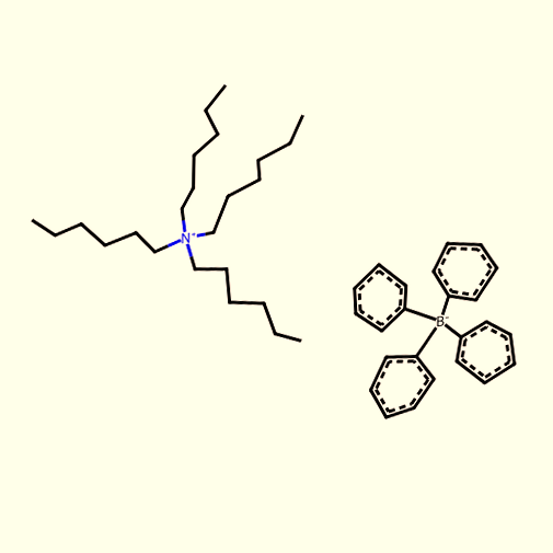 CCCCCC[N+](CCCCCC)(CCCCCC)CCCCCC.c1ccc([B-](c2ccccc2)(c2ccccc2)c2ccccc2)cc1